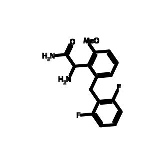 COc1cccc(Cc2c(F)cccc2F)c1C(N)C(N)=O